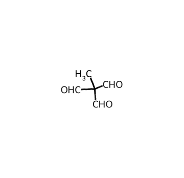 CC(C=O)(C=O)C=O